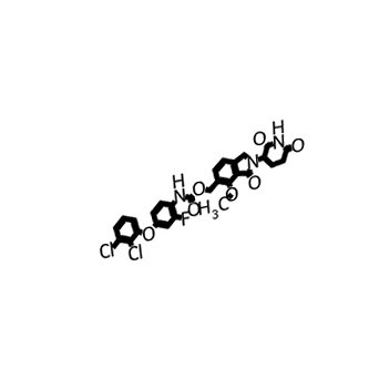 COc1c(COC(=O)Nc2ccc(Oc3cccc(Cl)c3Cl)cc2F)ccc2c1C(=O)N(C1CCC(=O)NC1=O)C2